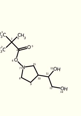 CC(C)(C)C(=O)ON1CCC(C(O)CO)C1